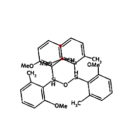 COc1cccc(C)c1[SiH](O[SiH](c1c(C)cccc1OC)c1c(C)cccc1OC)c1c(C)cccc1OC